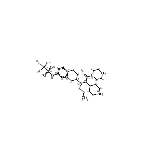 CCCN(C1CCc2ccc(OS(=O)(=O)C(F)(F)F)cc2C1)C(C(=O)N1CCOCC1)C1CCNCC1